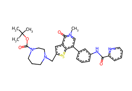 Cn1cc(-c2cccc(NC(=O)c3ccccn3)c2)c2sc(CN3CCCN(C(=O)OC(C)(C)C)CC3)cc2c1=O